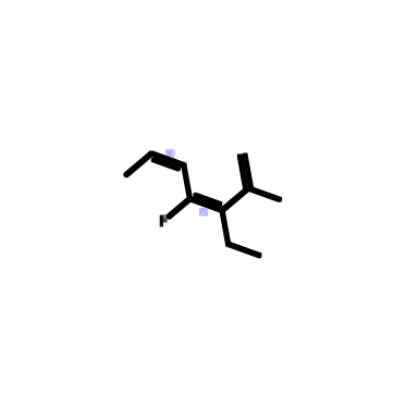 C=C(C)/C(CC)=C(F)\C=C/C